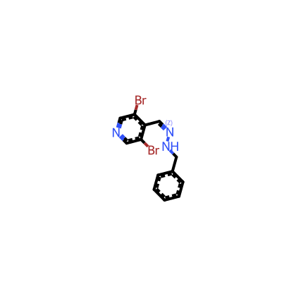 Brc1cncc(Br)c1/C=N\NCc1ccccc1